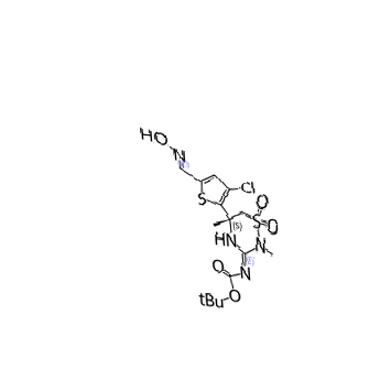 CN1/C(=N/C(=O)OC(C)(C)C)N[C@](C)(c2sc(/C=N/O)cc2Cl)CS1(=O)=O